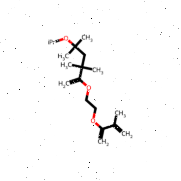 C=C(C)C(=C)OCCOC(=C)C(C)(C)CC(C)(C)OC(C)C